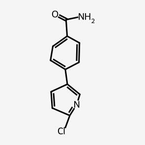 NC(=O)c1ccc(-c2ccc(Cl)nc2)cc1